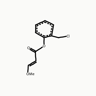 COC=CC(=O)Oc1ccccc1CCl